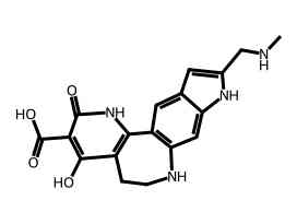 CNCc1cc2cc3c(cc2[nH]1)NCCc1c-3[nH]c(=O)c(C(=O)O)c1O